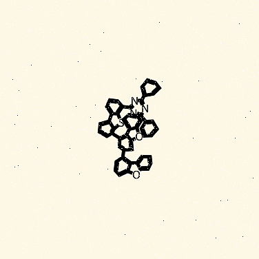 c1ccc(-c2nc(-c3ccccc3)nc(-c3cccc4c3sc3c(-c5cc(-c6cccc7oc8ccccc8c67)cc6oc7ccccc7c56)cccc34)n2)cc1